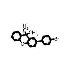 CC1(C)c2ccccc2Oc2ccc(-c3ccc(Br)cc3)cc21